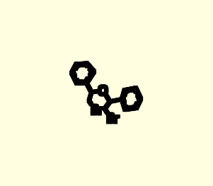 BrCC(OC(CBr)c1ccccc1)c1ccccc1